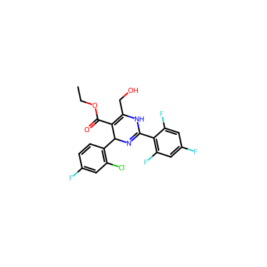 CCOC(=O)C1=C(CO)NC(c2c(F)cc(F)cc2F)=NC1c1ccc(F)cc1Cl